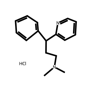 CN(C)CCC(c1ccccc1)c1ccccn1.Cl